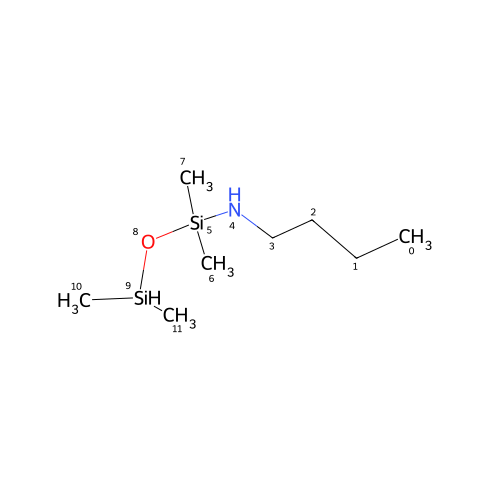 CCCCN[Si](C)(C)O[SiH](C)C